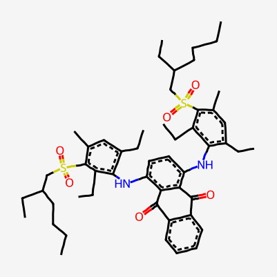 CCCCC(CC)CS(=O)(=O)c1c(C)cc(CC)c(Nc2ccc(Nc3c(CC)cc(C)c(S(=O)(=O)CC(CC)CCCC)c3CC)c3c2C(=O)c2ccccc2C3=O)c1CC